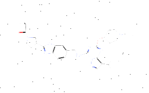 C=CC(=O)N1CCC(c2nc3ccc(CNc4nc(OC5CCN(C)CC5)nc5c(C(C)C)cnn45)cc3[nH]2)C1